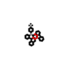 C[Si](C)(C)c1ccc(N(c2ccccc2)c2ccccc2-c2cc(-n3c4ccccc4c4ccccc43)cc3ccccc23)cc1